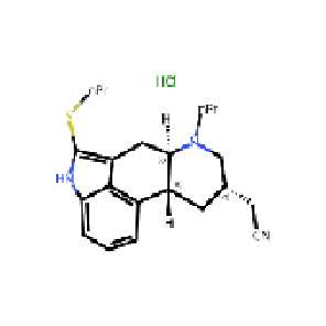 CCCSc1[nH]c2cccc3c2c1C[C@@H]1[C@@H]3C[C@@H](CC#N)CN1CCC.Cl